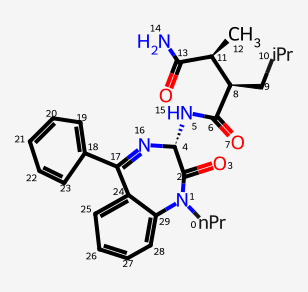 CCCN1C(=O)[C@@H](NC(=O)[C@H](CC(C)C)[C@H](C)C(N)=O)N=C(c2ccccc2)c2ccccc21